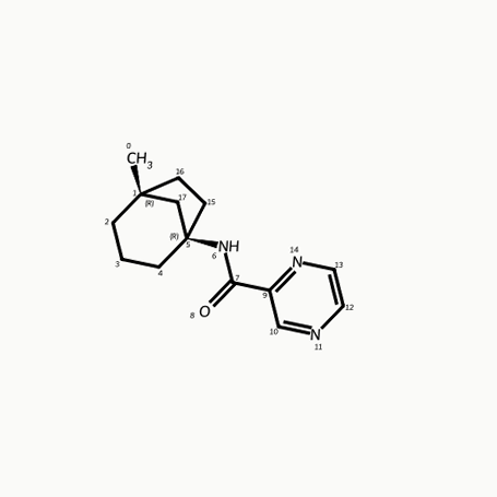 C[C@@]12CCC[C@@](NC(=O)c3cnccn3)(CC1)C2